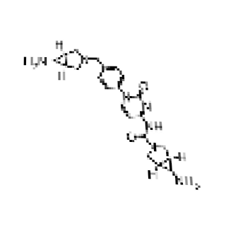 N[C@@H]1[C@H]2CN(Cc3ccc(-n4ccc(NC(=O)N5C[C@@H]6[C@@H](N)[C@@H]6C5)nc4=O)cc3)C[C@@H]12